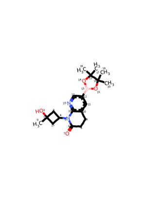 CC1(O)CC(N2C(=O)CCc3cc(B4OC(C)(C)C(C)(C)O4)cnc32)C1